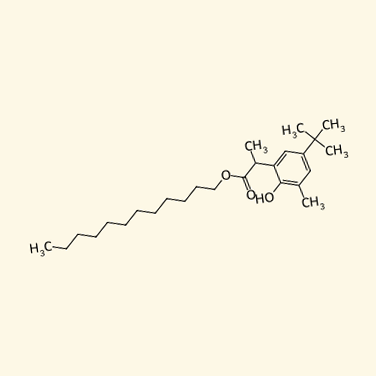 CCCCCCCCCCCCOC(=O)C(C)c1cc(C(C)(C)C)cc(C)c1O